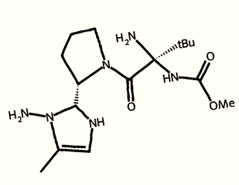 COC(=O)N[C@](N)(C(=O)N1CCC[C@H]1C1NC=C(C)N1N)C(C)(C)C